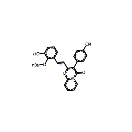 CCCCOc1c(O)cccc1/C=C/c1nc2ccccn2c(=O)c1-c1ccc(C#N)cc1